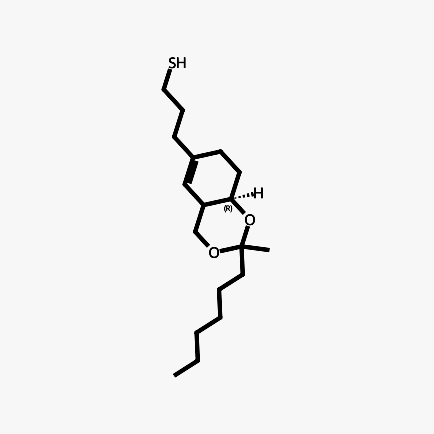 CCCCCCC1(C)OCC2C=C(CCCS)CC[C@H]2O1